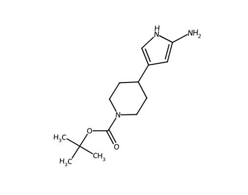 CC(C)(C)OC(=O)N1CCC(c2c[nH]c(N)c2)CC1